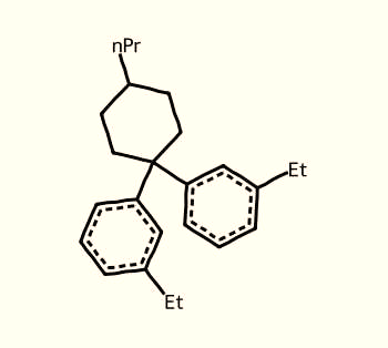 CCCC1CCC(c2cccc(CC)c2)(c2cccc(CC)c2)CC1